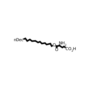 CCCCCCCCCCCCCCCCCCCCCCOC(=O)[C@@H](N)CCC(=O)O